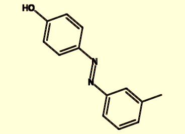 Cc1cccc(N=Nc2ccc(O)cc2)c1